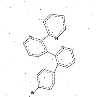 Brc1ccc(-c2cccnc2-c2cccnc2-c2ccccn2)cc1